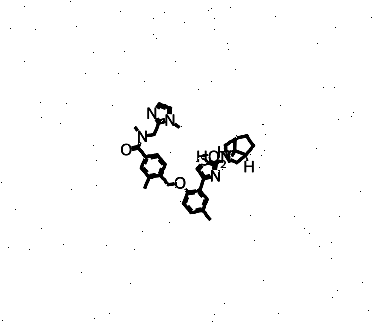 Cc1ccc(OCc2ccc(C(=O)N(C)Cc3nccn3C)cc2C)c(-c2csc(N3CC4CC[C@@H](C3)[C@H]4C(=O)O)n2)c1